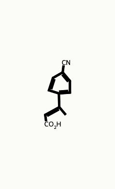 C/C(=C\C(=O)O)c1ccc(C#N)cc1